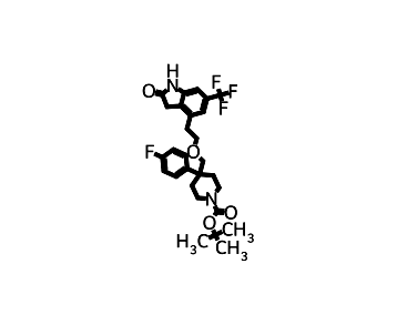 CC(C)(C)OC(=O)N1CCC(COCCc2cc(C(F)(F)F)cc3c2CC(=O)N3)(c2ccc(F)cc2)CC1